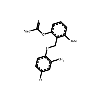 CCc1ccc(OCc2c(OC)cccc2OC(=O)SC)c(C)c1